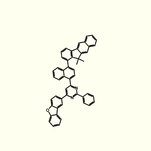 CC1(C)c2cc3ccccc3cc2-c2cccc(-c3ccc(-c4cc(-c5ccc6oc7ccccc7c6c5)nc(-c5ccccc5)n4)c4ccccc34)c21